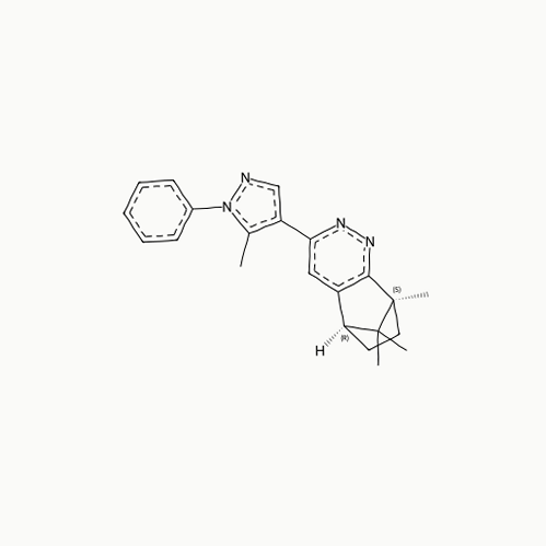 Cc1c(-c2cc3c(nn2)[C@@]2(C)CC[C@@H]3C2(C)C)cnn1-c1ccccc1